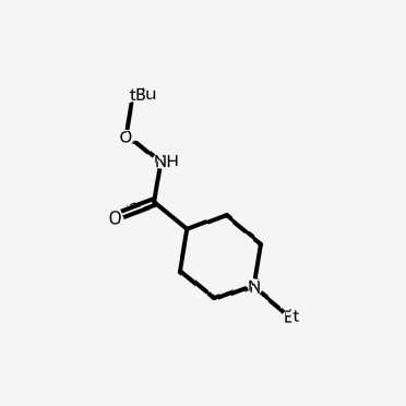 CCN1CCC(C(=O)NOC(C)(C)C)CC1